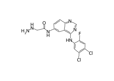 NNCC(=O)Nc1ccc2ncnc(Nc3cc(Cl)c(Cl)cc3F)c2c1